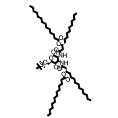 CCCCCCCCCCCCCC(=O)O[C@H](CCCCCCCCCCC)CC(=O)N[C@@H]1[C@@H](NC(=O)C[C@@H](CCCCCCCCCCC)OC(=O)CCCCCCCCCCCCC)[C@H](O)[C@@H](CO[Si](C)(C)C(C)(C)C)O[C@H]1O